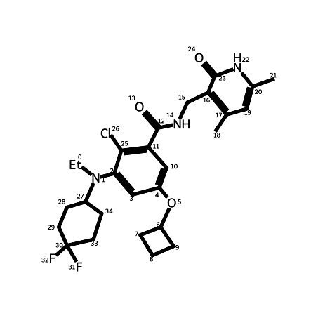 CCN(c1cc(OC2CCC2)cc(C(=O)NCc2c(C)cc(C)[nH]c2=O)c1Cl)C1CCC(F)(F)CC1